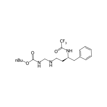 CCCCOC(=O)NCNCC[C@H](Cc1ccccc1)NC(=O)C(F)(F)F